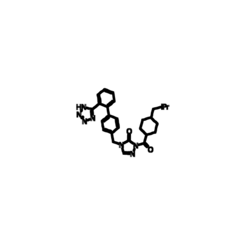 CC(C)CC1CCC(C(=O)n2ncn(Cc3ccc(-c4ccccc4-c4nnn[nH]4)cc3)c2=O)CC1